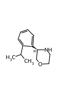 CC(C)c1ccccc1[C@@H]1COCCN1